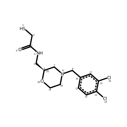 O=C(CS)NC[C@H]1CN(Cc2ccc(Cl)c(Cl)c2)CCO1